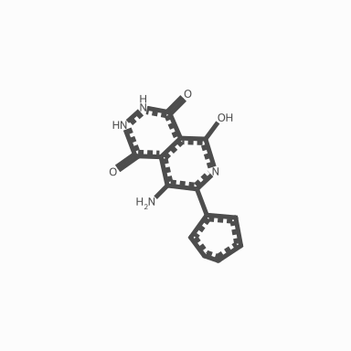 Nc1c(-c2ccccc2)nc(O)c2c(=O)[nH][nH]c(=O)c12